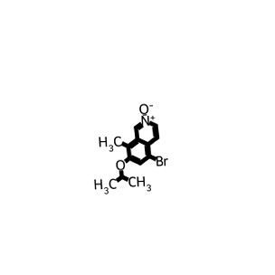 Cc1c(OC(C)C)cc(Br)c2cc[n+]([O-])cc12